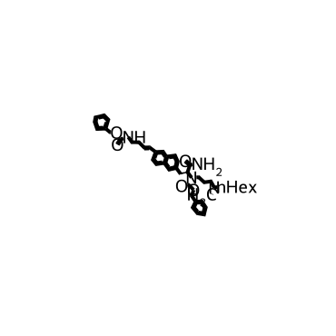 CCCCCCN(C)CCCN(C(=O)OCc1ccccc1)[C@@H](Cc1ccc2cc(/C=C/CCNC(=O)OCc3ccccc3)ccc2c1)C(N)=O